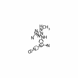 CCNc1nc(Nc2ccc3c(c2)c(C#N)cn3C2CCN(C3COC3)CC2)nn2c(C#N)cnc12